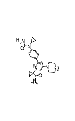 CN(C)C(=O)C1(c2cc(N3CCOCC3)nc(-c3ccc(N(C(N)=O)C4CC4)cc3)n2)CC1